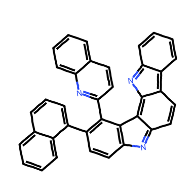 c1ccc2c(c1)=Nc1c3c(ccc1=2)=Nc1ccc(-c2cccc4ccccc24)c(-c2ccc4ccccc4n2)c1-3